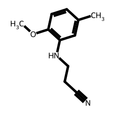 COc1ccc(C)cc1NCCC#N